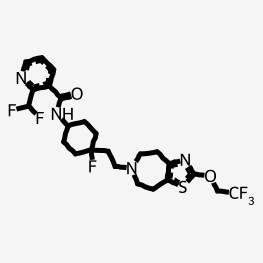 O=C(NC1CCC(F)(CCN2CCc3nc(OCC(F)(F)F)sc3CC2)CC1)c1cccnc1C(F)F